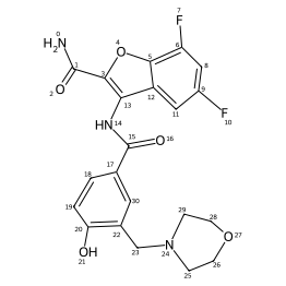 NC(=O)c1oc2c(F)cc(F)cc2c1NC(=O)c1ccc(O)c(CN2CCOCC2)c1